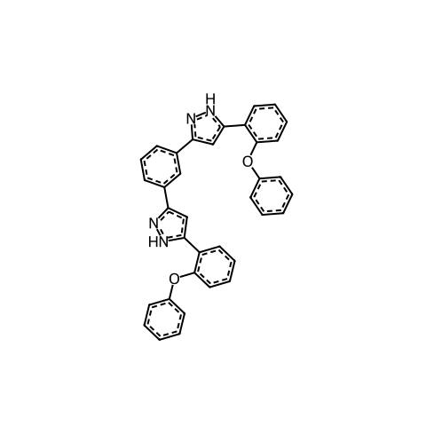 c1ccc(Oc2ccccc2-c2cc(-c3cccc(-c4cc(-c5ccccc5Oc5ccccc5)[nH]n4)c3)n[nH]2)cc1